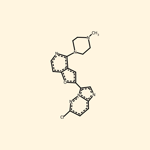 CN1CCN(c2nccc3oc(-c4cnc5ccc(Cl)nn45)cc23)CC1